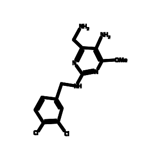 COc1nc(NCc2ccc(Cl)c(Cl)c2)nc(CN)c1N